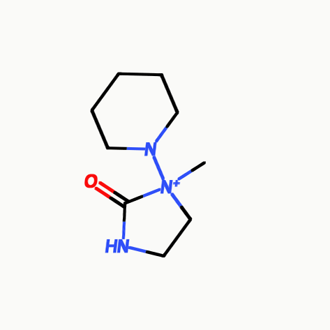 C[N+]1(N2CCCCC2)CCNC1=O